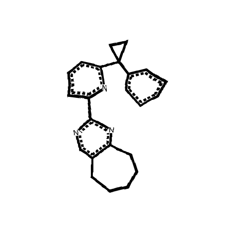 c1ccc(C2(c3cccc(-c4ncc5c(n4)CCCCC5)n3)CC2)cc1